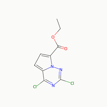 CCOC(=O)c1ccc2c(Cl)nc(Cl)nn12